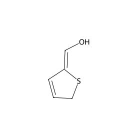 OC=C1C=CCS1